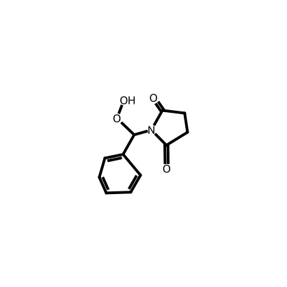 O=C1CCC(=O)N1C(OO)c1ccccc1